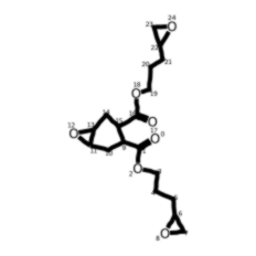 O=C(OCCCC1CO1)C1CC2OC2CC1C(=O)OCCCC1CO1